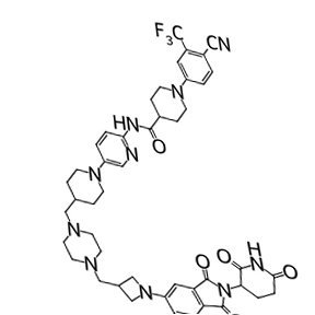 N#Cc1ccc(N2CCC(C(=O)Nc3ccc(N4CCC(CN5CCN(CC6CN(c7ccc8c(c7)C(=O)N(C7CCC(=O)NC7=O)C8=O)C6)CC5)CC4)cn3)CC2)cc1C(F)(F)F